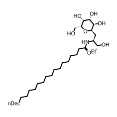 CCCCCCCCCCCCCCCCCCCCCCCCCC(=O)N[C@@H](C[C@H]1O[C@H](CO)[C@H](O)[C@H](O)[C@H]1O)[C@H](O)CC